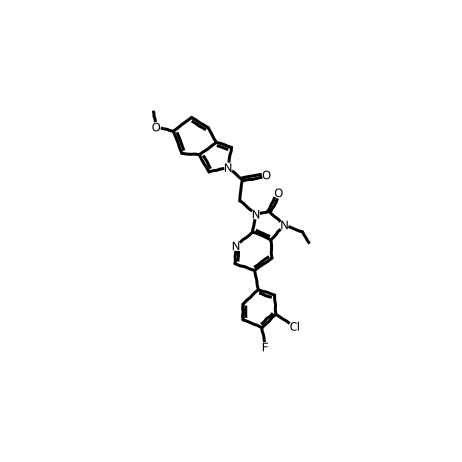 CCn1c(=O)n(CC(=O)n2cc3ccc(OC)cc3c2)c2ncc(-c3ccc(F)c(Cl)c3)cc21